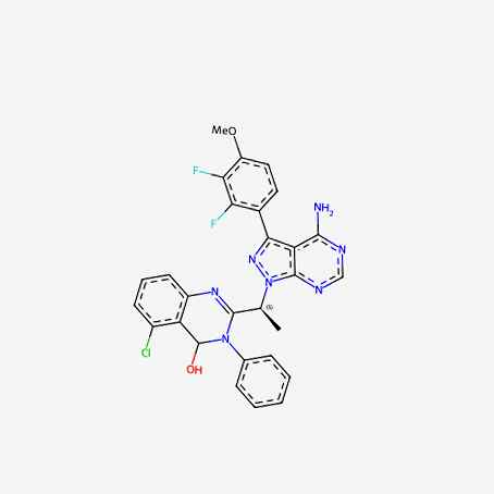 COc1ccc(-c2nn([C@@H](C)C3=Nc4cccc(Cl)c4C(O)N3c3ccccc3)c3ncnc(N)c23)c(F)c1F